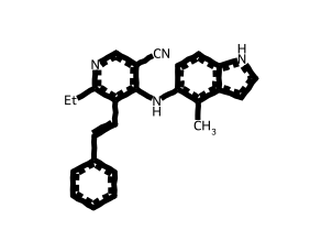 CCc1ncc(C#N)c(Nc2ccc3[nH]ccc3c2C)c1C=Cc1ccccc1